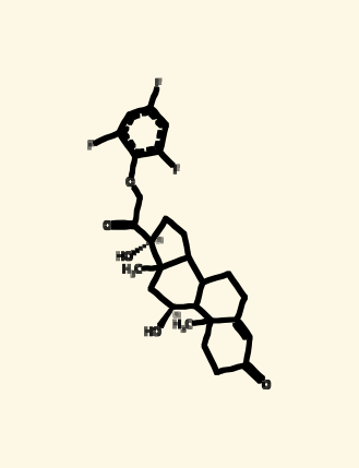 CC12CCC(=O)C=C1CCC1C2[C@@H](O)CC2(C)C1CC[C@]2(O)C(=O)COc1c(F)cc(F)cc1F